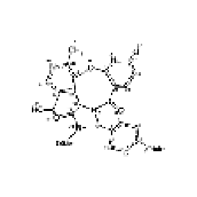 COc1ccc(CN2C(=O)c3ccc(Cl)nc3Oc3c(C)ncc(CO)c3C2C(=O)NC(C)(C)C)cc1